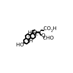 C[C@]12CC[C@H]3[C@@H](CCC4C[C@H](O)CC[C@@]43C)[C@@H]1CC[C@@H]2[C@@H](CCC(=O)O)COC=O